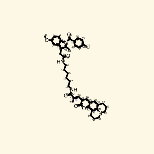 COc1ccc2c(c1)c(CC(=O)NCCCCCCNC(=O)/C(C)=C/c1cc3cc4c5c(c3oc1=O)CCCN5CCC4)c(C)n2C(=O)c1ccc(Cl)cc1